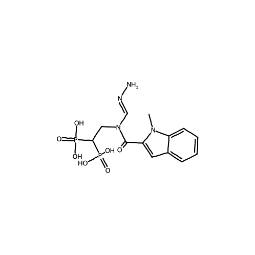 Cn1c(C(=O)N(C=NN)CC(P(=O)(O)O)P(=O)(O)O)cc2ccccc21